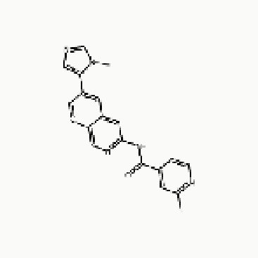 Cc1cc(C(=O)Nc2cc3cc(-c4cncn4C)cnc3cn2)ccn1